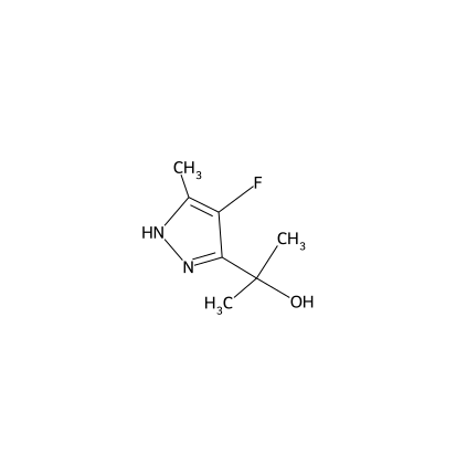 Cc1[nH]nc(C(C)(C)O)c1F